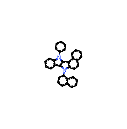 c1ccc(-n2c3ccccc3c3c2c2c4ccccc4ccc2n3-c2cccc3ccccc23)cc1